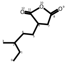 CCC(C)CCC1CC(=O)OC1=O